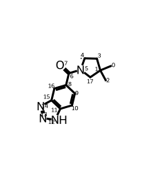 CC1(C)C[CH]N(C(=O)c2ccc3[nH]nnc3c2)C1